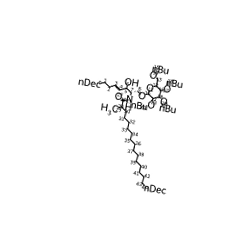 CCCCCCCCCCCC/C=C/[C@@H](O)[C@H](CO[C@H]1OC(COCCCC)[C@H](OCCCC)C(OCCCC)C1OCCCC)NC(=O)C(C)CCCCCCCCCCCCCCCCCCCCCCCC